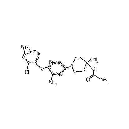 CC1(OC(N)=O)CCN(c2cnc(Sc3ccc(N)cc3Cl)c(N)n2)CC1